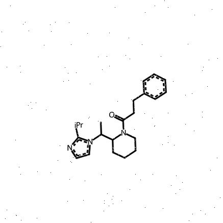 CC(C)c1nccn1C(C)C1CCCCN1C(=O)CCc1ccccc1